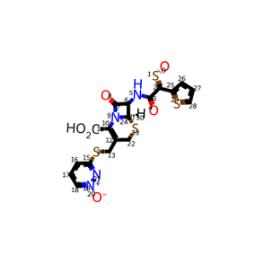 O=S=C(C(=O)NC1C(=O)N2C(C(=O)O)=C(CSc3ccc[n+]([O-])n3)CS[C@H]12)c1cccs1